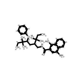 CCC(C)(C)C(CNC(=O)c1cc(N)c2ccccc2c1O)CC(Oc1ccccc1)C(C)(C)CC